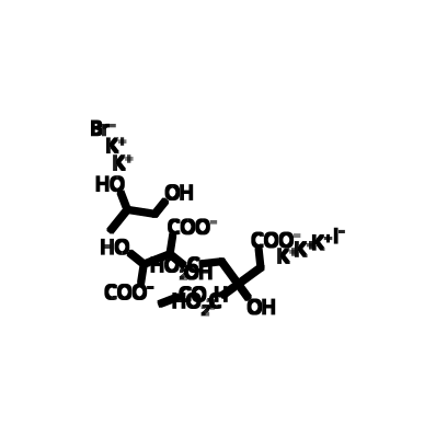 CC(=O)O.CC(O)CO.O=C([O-])C(O)C(O)C(=O)[O-].O=C([O-])CC(O)(CC(=O)O)C(=O)O.[Br-].[I-].[K+].[K+].[K+].[K+].[K+]